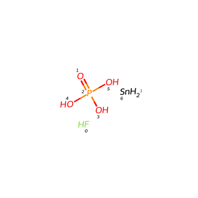 F.O=P(O)(O)O.[SnH2]